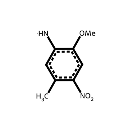 COc1cc([N+](=O)[O-])c(C)cc1[NH]